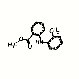 COC(=O)c1ccccc1Nc1ccccc1C